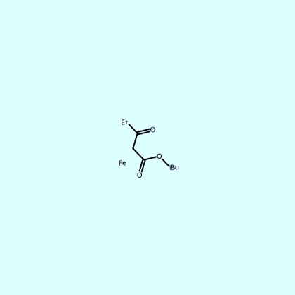 CCC(=O)CC(=O)OC(C)CC.[Fe]